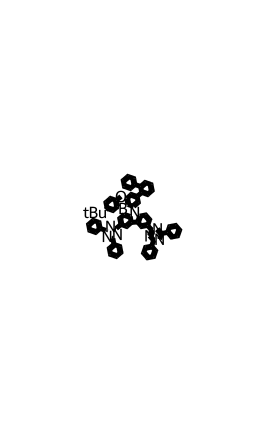 CC(C)(C)c1ccc2c(c1)B1c3c(cc(-c4ccccc4-c4ccccc4)cc3-n3c4ccc(-c5nc(-c6ccccc6)nc(-c6ccccc6)n5)cc4c4cc(-c5nc(-c6ccccc6)nc(-c6ccccc6)n5)cc1c43)O2